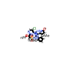 CCCO[C@@H](c1ncc(Cl)cn1)[C@H](C)S(=O)(=O)Nc1nnc([C@H]2CCC(=O)N2)n1-c1c(OC)cccc1OC